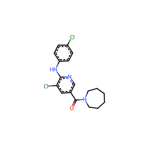 O=C(c1cnc(Nc2ccc(Cl)cc2)c(Cl)c1)N1CCCCCC1